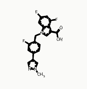 Cn1cc(-c2ccc(Cn3cc(C(=O)O)c4c(F)cc(F)cc43)c(F)c2)cn1